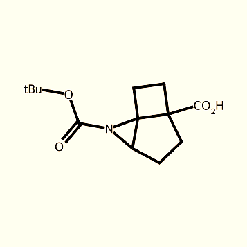 CC(C)(C)OC(=O)N1C2CCC3(C(=O)O)CCC213